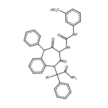 CC(C)C(C(N)=O)(c1ccccc1)N1C(=O)C(NC(=O)Nc2cccc(C(=O)O)c2)C(=O)N(c2ccccc2)c2ccccc21